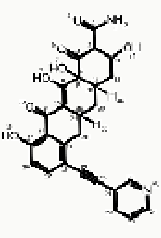 NC(=O)C1C(=O)[C@@]2(O)C(O)=C3C(=O)c4c(O)ccc(C#Cc5cccnc5)c4C[C@H]3C[C@H]2CC1O